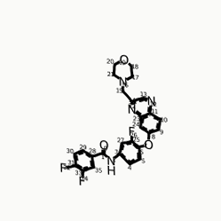 O=C(Nc1ccc(Oc2ccc3ncc(CN4CCOCC4)nc3c2)c(F)c1)c1ccc(F)c(F)c1